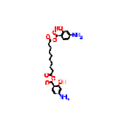 Nc1ccc(C(=O)OC(=O)CCCCCCCCC(=O)OC(=O)c2ccc(N)cc2O)c(O)c1